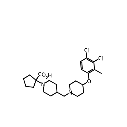 Cc1c(OC2CCN(CC3CCN(C4(C(=O)O)CCCC4)CC3)CC2)ccc(Cl)c1Cl